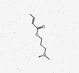 CC=CC(=O)OCCC[Si](C)C